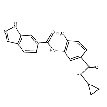 Cc1ccc(C(=O)NC2CC2)cc1NC(=O)c1ccc2cn[nH]c2c1